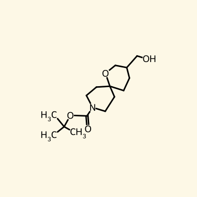 CC(C)(C)OC(=O)N1CCC2(CCC(CO)CO2)CC1